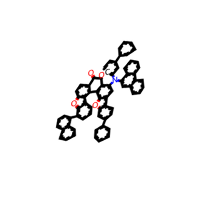 O=C1C(=O)c2c(N(c3cccc(-c4ccccc4)c3)c3cc4ccccc4c4ccccc34)cc3c(oc4cc(-c5ccccc5)ccc43)c2-c2c1ccc1oc3c(-c4cccc5ccccc45)cccc3c21